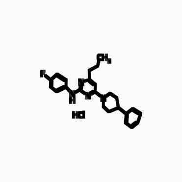 CCCc1cc(N2CCC(c3ccccc3)CC2)nc(Nc2ccc(F)cc2)n1.Cl